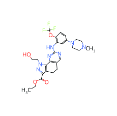 CCOC(=O)c1nn(CCO)c2c1CCc1cnc(Nc3cc(N4CCN(C)CC4)ccc3OC(F)(F)F)nc1-2